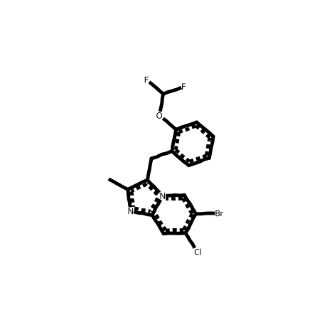 Cc1nc2cc(Cl)c(Br)cn2c1Cc1ccccc1OC(F)F